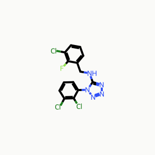 Fc1c(Cl)cccc1CNc1nnnn1-c1cccc(Cl)c1Cl